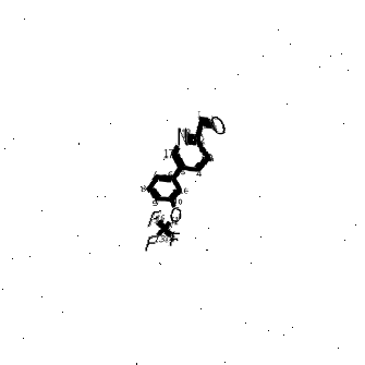 O=Cc1ccc(-c2cccc(OC(F)(F)F)c2)cn1